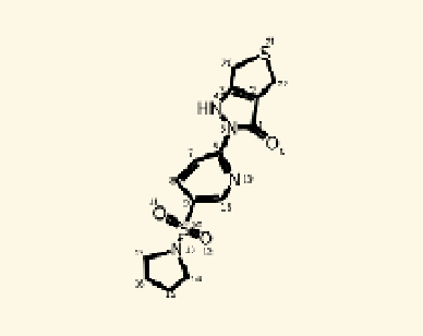 O=c1c2c([nH]n1-c1ccc(S(=O)(=O)N3CCCC3)cn1)CSC2